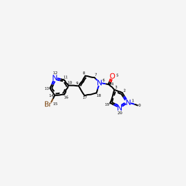 Cn1cc(C(=O)N2CC=C(c3cncc(Br)c3)CC2)cn1